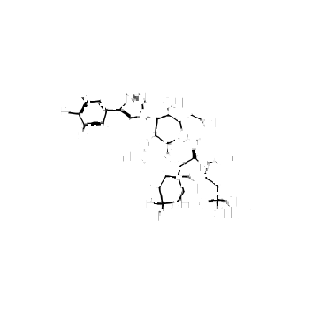 CO[C@@H]1[C@@H](n2cc(-c3cc(F)c(F)c(F)c3)nn2)[C@@H](O)[C@@H](CO)O[C@H]1S[C@H](C(=O)N(C)CCC(C)(C)C)C1(O)CCC(F)(F)CC1